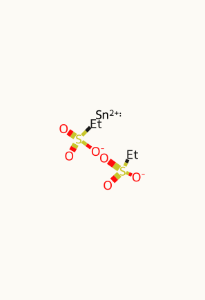 CCS(=O)(=O)[O-].CCS(=O)(=O)[O-].[Sn+2]